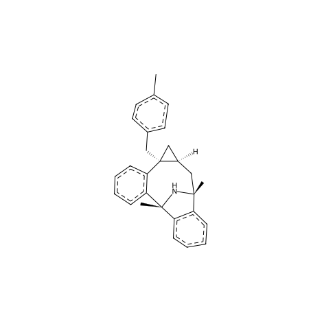 Cc1ccc(C[C@]23C[C@H]2C[C@@]2(C)N[C@@](C)(c4ccccc43)c3ccccc32)cc1